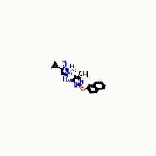 Cc1nc(Oc2ccc3ccccc3c2)nc(Nc2cc(C3CC3)[nH]n2)c1C